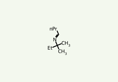 CCCC=NC(C)(C)CC